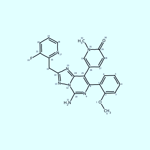 COc1ccccc1-c1nc(N)n2nc(Cc3ncccc3F)nc2c1-c1ccc(=O)n(C)c1